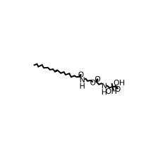 CCCCCCCCC=CCCCCCCCC(=O)NCCCOC(=O)CCNCC(O)C(C)(C)C(=O)O